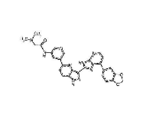 CN(C)CC(=O)Nc1cncc(-c2ccc3[nH]nc(-c4nc5c(-c6ccc7c(c6)OCO7)ccnc5[nH]4)c3n2)c1